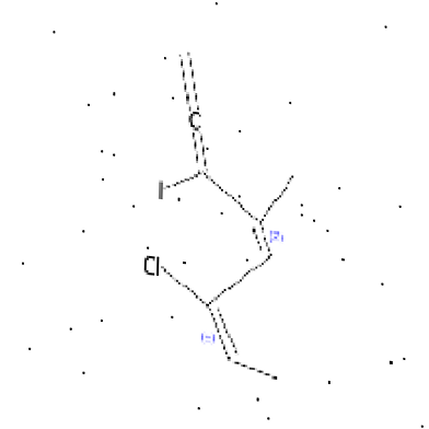 C=C=C(I)/C(C)=C\C(Cl)=C/C